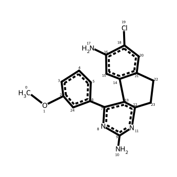 COc1cccc(-c2nc(N)nc3c2-c2cc(N)c(Cl)cc2CC3)c1